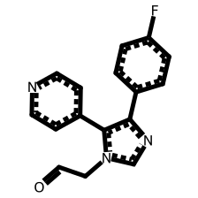 O=CCn1cnc(-c2ccc(F)cc2)c1-c1ccncc1